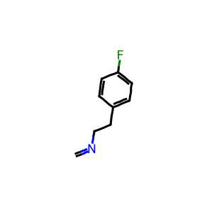 C=NCCc1ccc(F)cc1